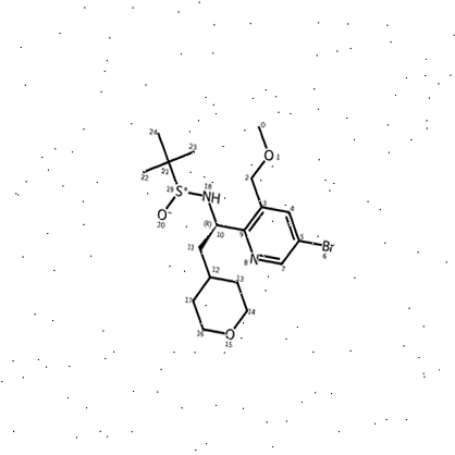 COCc1cc(Br)cnc1[C@@H](CC1CCOCC1)N[S+]([O-])C(C)(C)C